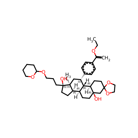 C=C(OCC)c1ccc([C@H]2C[C@@]3(C)[C@H](CC[C@]3(O)CCCOC3CCCCO3)[C@@H]3CC[C@@]4(O)CC5(CC[C@@H]4[C@H]32)OCCO5)cc1